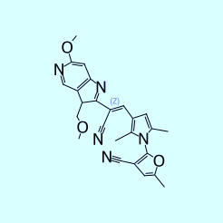 COCC1C(/C(C#N)=C/c2cc(C)n(-c3oc(C)cc3C#N)c2C)=Nc2cc(OC)ncc21